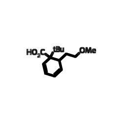 COCCC1C=CC=CC1(C(=O)O)C(C)(C)C